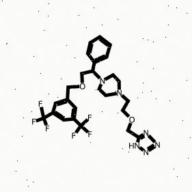 FC(F)(F)c1cc(COCC(c2ccccc2)N2CCN(CCOCc3nnn[nH]3)CC2)cc(C(F)(F)F)c1